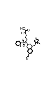 Cn1cncc1CN1CC(N(CCCNC(=O)O)S(=O)(=O)c2ccccn2)Cc2cc(C#N)ccc21